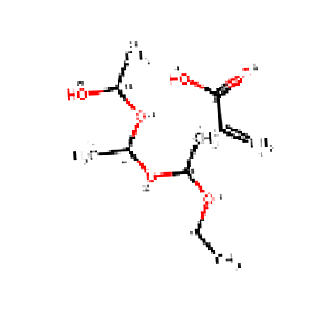 C=CC(=O)O.CCOC(C)OC(C)OC(C)O